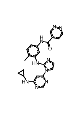 Cc1ccc(NC(=O)c2ccnnc2)cc1Nc1nccn1-c1cc(NC2CC2)ncn1